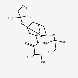 CCC(C)C(=O)OC12CC3CC(OC(C)(C)CC)(C1)CC(OC(C)(C)CC)(C3)C2